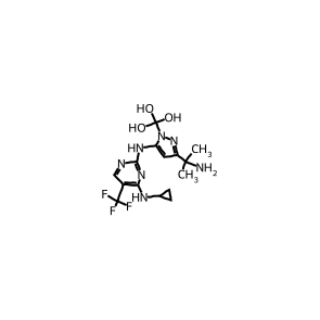 CC(C)(N)c1cc(Nc2ncc(C(F)(F)F)c(NC3CC3)n2)n(C(O)(O)O)n1